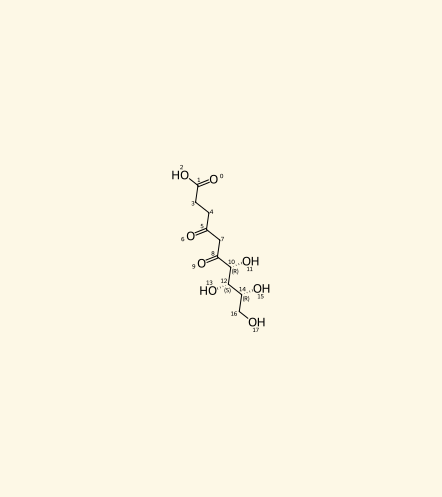 O=C(O)CCC(=O)CC(=O)[C@H](O)[C@@H](O)[C@H](O)CO